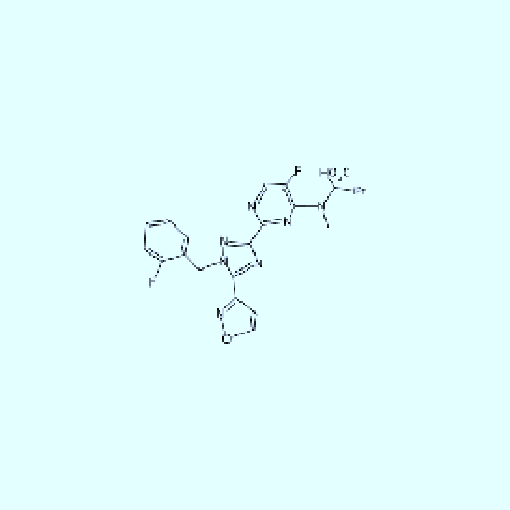 CC(C)C(C(=O)O)N(C)c1nc(-c2nc(-c3ccon3)n(Cc3ccccc3F)n2)ncc1F